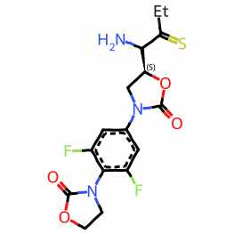 CCC(=S)C(N)[C@@H]1CN(c2cc(F)c(N3CCOC3=O)c(F)c2)C(=O)O1